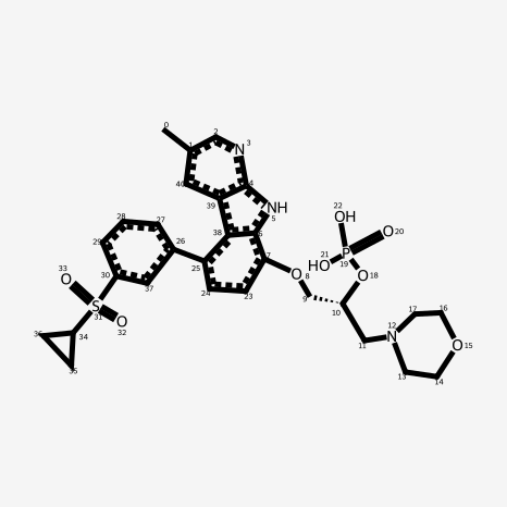 Cc1cnc2[nH]c3c(OC[C@@H](CN4CCOCC4)OP(=O)(O)O)ccc(-c4cccc(S(=O)(=O)C5CC5)c4)c3c2c1